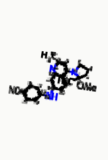 CO[C@@]1(C)CCCN1c1cc(C)nc2cc(Nc3ccc(C#N)cc3)ccc12